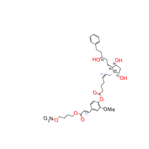 COc1cc(/C=C/C(=O)OCCCCO[N+](=O)[O-])ccc1OC(=O)CCC/C=C\C[C@@H]1[C@@H](CC[C@@H](O)CCc2ccccc2)[C@H](O)C[C@@H]1O